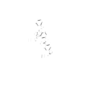 COc1ccc(C(=O)Oc2ccc(OCc3ccccc3)c([S+](C)[O-])c2)cc1